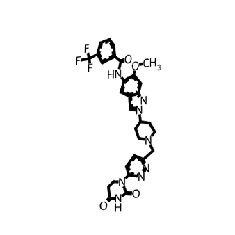 COc1cc2nn(C3CCN(Cc4ccc(N5CCC(=O)NC5=O)nn4)CC3)cc2cc1NC(=O)c1cccc(C(F)(F)F)c1